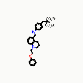 CCOC(=O)C(C)(Cc1ccc(NCc2cccc3c2CCCN3CCOc2ccccc2)cc1)C(=O)OCC